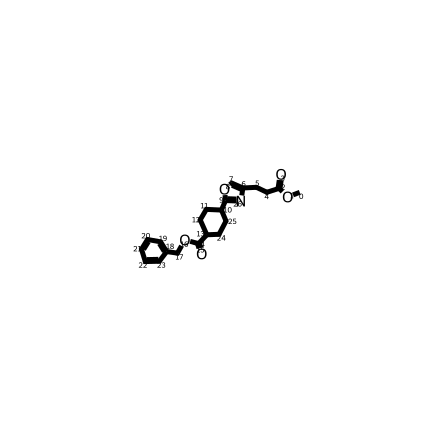 COC(=O)CCc1coc(C2CCC(C(=O)OCc3ccccc3)CC2)n1